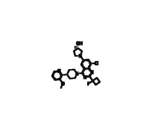 COc1cccnc1C1CCN(c2nc(C3(F)CCC3)nc3c(Cl)cc(N4CC[C@H](O)C4)cc23)CC1